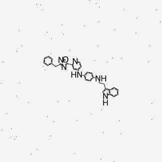 c1ccc(Cc2noc(-c3cc(Nc4ccc(NCCc5c[nH]c6ccccc56)cc4)ccn3)n2)cc1